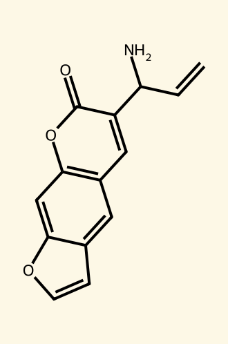 C=CC(N)c1cc2cc3ccoc3cc2oc1=O